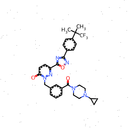 CC(C)(c1ccc(-c2noc(-c3ccc(=O)n(Cc4cccc(C(=O)N5CCN(C6CC6)CC5)c4)n3)n2)cc1)C(F)(F)F